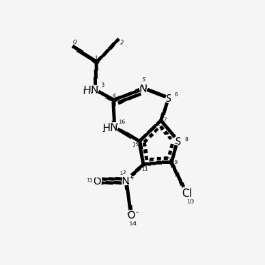 CC(C)NC1=NSc2sc(Cl)c([N+](=O)[O-])c2N1